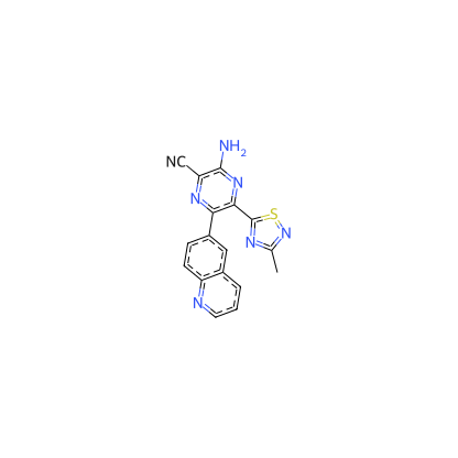 Cc1nsc(-c2nc(N)c(C#N)nc2-c2ccc3ncccc3c2)n1